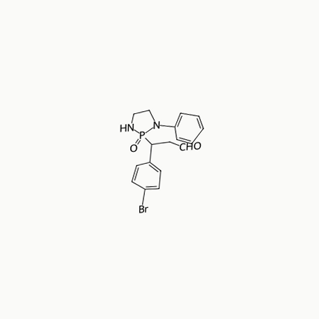 O=CCC(c1ccc(Br)cc1)P1(=O)NCCN1c1ccccc1